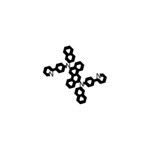 c1ccc(-c2ccc(N(c3ccc4ccccc4c3)c3cc4c5ccccc5c(N(c5ccc(-c6ccccn6)cc5)c5ccc6ccccc6c5)cc4c4ccccc34)cc2)nc1